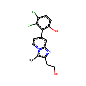 Cc1c(CCO)nc2cc(-c3c(O)ccc(Cl)c3Cl)ccn12